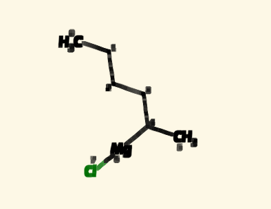 CCCC[CH](C)[Mg][Cl]